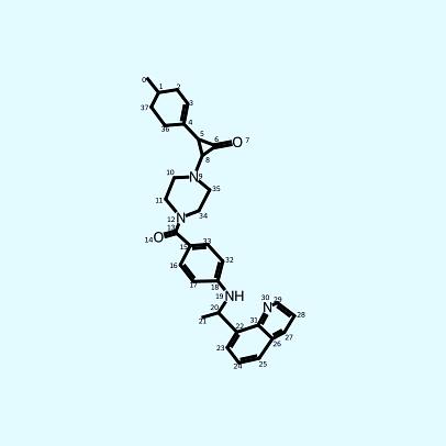 CC1CC=C(C2C(=O)C2N2CCN(C(=O)c3ccc(NC(C)c4cccc5cccnc45)cc3)CC2)CC1